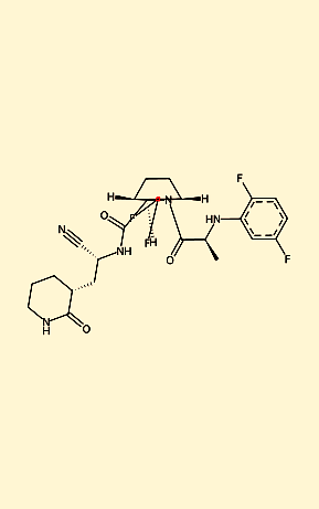 C[C@H](Nc1cc(F)ccc1F)C(=O)N1[C@H]2CC[C@@H]([C@@H]1C(=O)N[C@@H](C#N)C[C@H]1CCCNC1=O)C(F)(F)C2